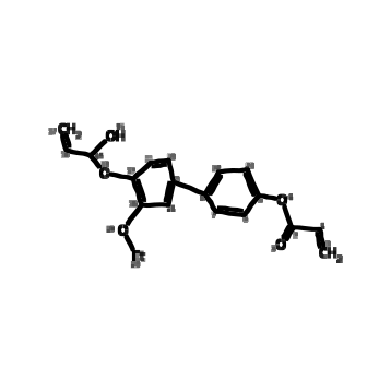 C=CC(=O)Oc1ccc(-c2ccc(OC(O)C=C)c(OCC)c2)cc1